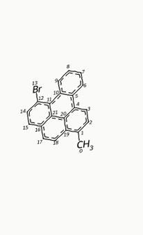 Cc1ccc2c3ccccc3c3c(Br)ccc4ccc1c2c43